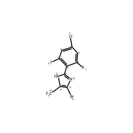 Fc1cc(Cl)cc(F)c1-c1nc(Br)c(C(F)(F)F)[nH]1